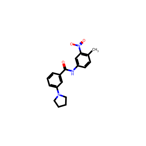 Cc1ccc(NC(=O)c2cccc(N3CCCC3)c2)cc1[N+](=O)[O-]